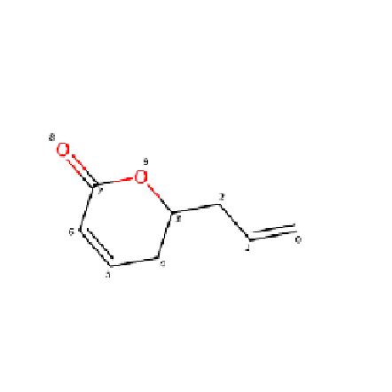 C=CCC1CC=CC(=O)O1